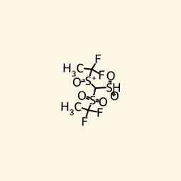 CC(F)(F)[S+]([O-])C([SH](=O)=O)S(=O)(=O)C(C)(F)F